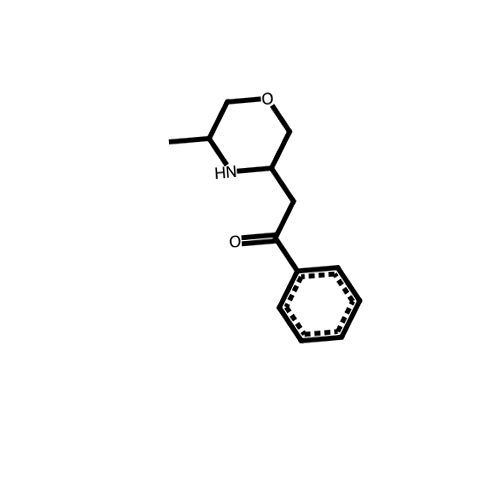 CC1COCC(CC(=O)c2ccccc2)N1